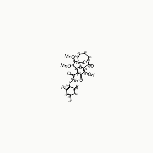 CO[C@@H]1[C@@H](OC)c2c(C(=O)NCc3c(F)cc(C)cc3F)c(=O)c(O)c3n2[C@@]12CCCCN(C2)C3=O